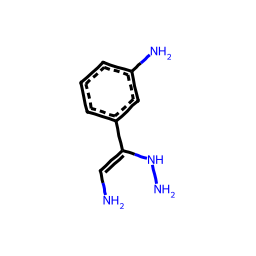 N/C=C(\NN)c1cccc(N)c1